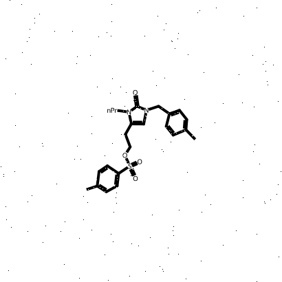 CCCn1c(CCOS(=O)(=O)c2ccc(C)cc2)cn(Cc2ccc(C)cc2)c1=O